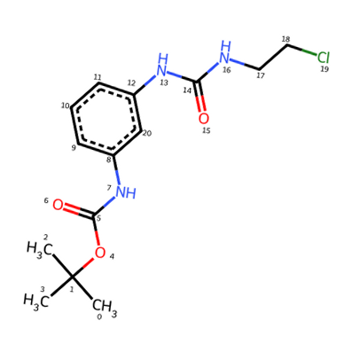 CC(C)(C)OC(=O)Nc1cccc(NC(=O)NCCCl)c1